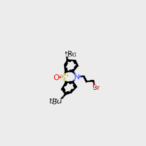 CC(C)(C)c1ccc2c(c1)[S+]([O-])c1cc(C(C)(C)C)ccc1N2CCCBr